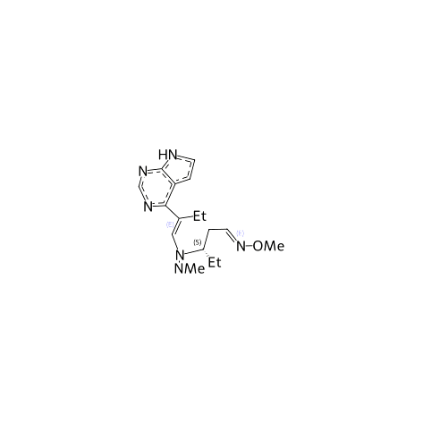 CC/C(=C\N(NC)[C@@H](CC)C/C=N/OC)c1ncnc2[nH]ccc12